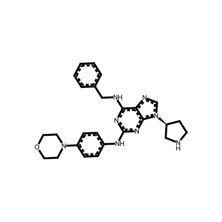 c1ccc(CNc2nc(Nc3ccc(N4CCOCC4)cc3)nc3c2ncn3[C@H]2CCNC2)cc1